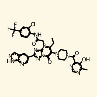 CCc1c(N2CCN(C(=O)c3ncnc(C)c3O)CC2)c(=O)n2nc(-c3cnc4[nH]ncc4c3)nc2n1CC(=O)Nc1ccc(C(F)(F)F)cc1Cl